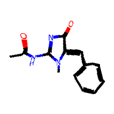 CC(=O)NC1=NC(=O)/C(=C/c2ccccc2)N1C